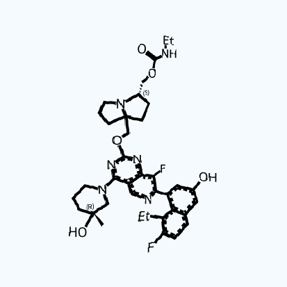 CCNC(=O)OC[C@@H]1CCC2(COc3nc(N4CCC[C@@](C)(O)C4)c4cnc(-c5cc(O)cc6ccc(F)c(CC)c56)c(F)c4n3)CCCN12